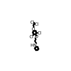 ClC(Cl)=CCOc1cc(Cl)c(OCCCCNc2ccccc2)c(Cl)c1